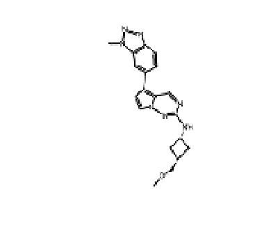 COC[C@H]1C[C@H](Nc2ncc3c(-c4ccc5nnn(C)c5c4)ccn3n2)C1